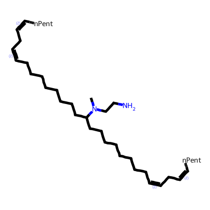 CCCCC/C=C\C/C=C\CCCCCCCCC(CCCCCCCC/C=C\C/C=C\CCCCC)N(C)CCN